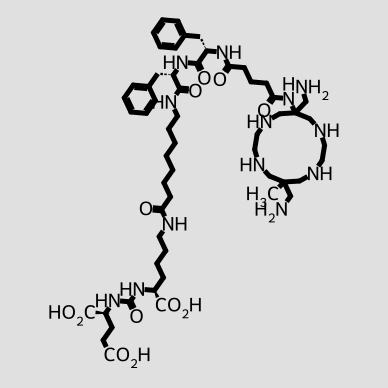 CC1(CN)CNCCNCC(CN)(NC(=O)CCCC(=O)N[C@@H](Cc2ccccc2)C(=O)N[C@@H](Cc2ccccc2)C(=O)NCCCCCCCC(=O)NCCCC[C@H](NC(=O)N[C@@H](CCC(=O)O)C(=O)O)C(=O)O)CNCCNC1